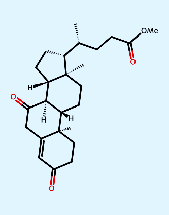 COC(=O)CC[C@@H](C)[C@H]1CC[C@H]2[C@@H]3C(=O)CC4=CC(=O)CC[C@]4(C)[C@H]3CC[C@]12C